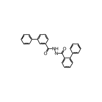 O=C(N[N]C(=O)c1ccccc1-c1ccccc1)c1cccc(-c2ccccc2)c1